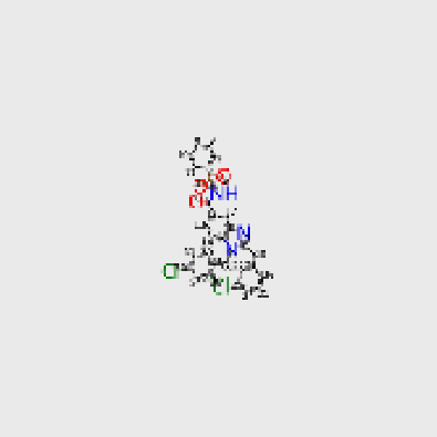 O=C(NS(=O)(=O)c1ccccc1)c1ccc2c(c1)nc(Cc1ccccc1)n2Cc1ccc(Cl)cc1Cl